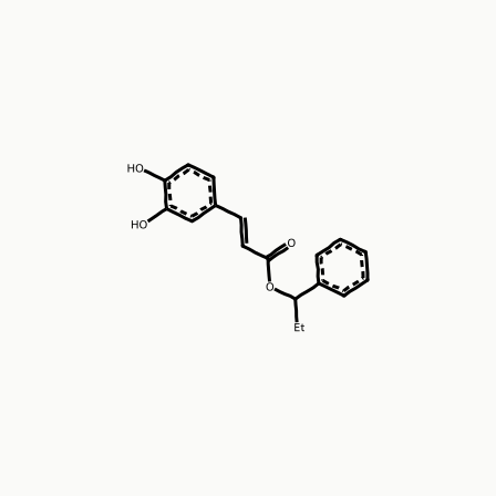 CCC(OC(=O)/C=C/c1ccc(O)c(O)c1)c1ccccc1